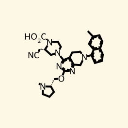 Cc1ccc2cccc(N3CCc4c(nc(OC[C@@H]5CCCN5C)nc4N4CCN(C(=O)O)[C@@H](CC#N)C4)C3)c2c1